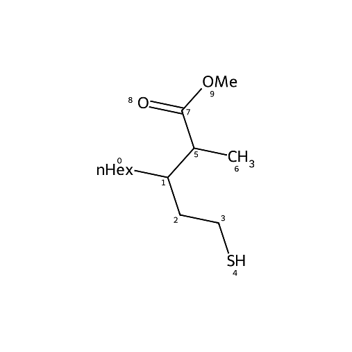 CCCCCCC(CCS)C(C)C(=O)OC